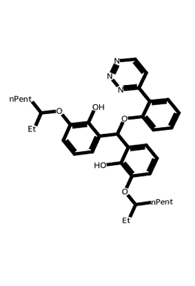 CCCCCC(CC)Oc1cccc(C(Oc2ccccc2-c2ccnnn2)c2cccc(OC(CC)CCCCC)c2O)c1O